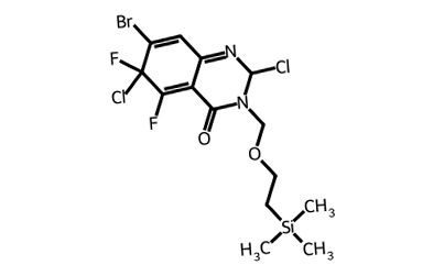 C[Si](C)(C)CCOCN1C(=O)C2=C(F)C(F)(Cl)C(Br)=CC2=NC1Cl